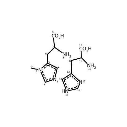 Cn1cncc1CC(N)C(=O)O.NC(Cc1c[nH]cn1)C(=O)O